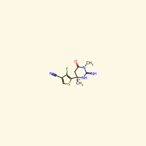 CN1C(=N)N[C@](C)(c2scc(C#N)c2F)CC1=O